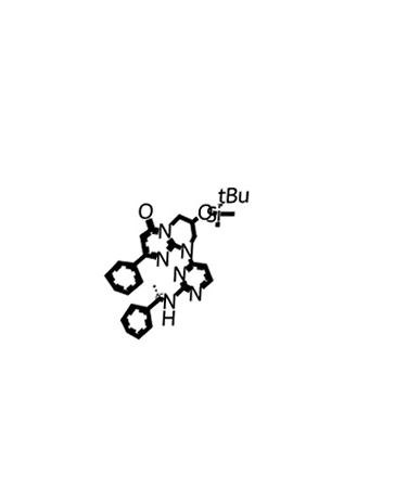 C[C@H](Nc1nccc(N2CC(O[Si](C)(C)C(C)(C)C)Cn3c2nc(-c2ccccc2)cc3=O)n1)c1ccccc1